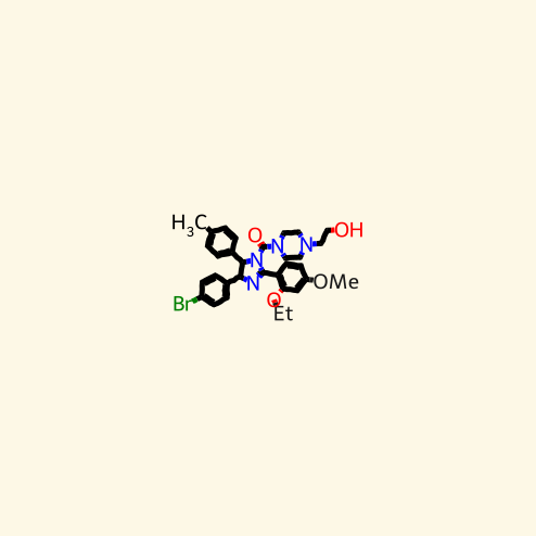 CCOc1cc(OC)ccc1C1=NC(c2ccc(Br)cc2)C(c2ccc(C)cc2)N1C(=O)N1CCN(CCO)CC1